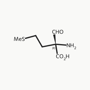 CSCC[C@@](N)(C=O)C(=O)O